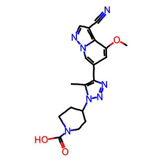 COc1cc(-c2nnn(C3CCN(C(=O)O)CC3)c2C)cn2ncc(C#N)c12